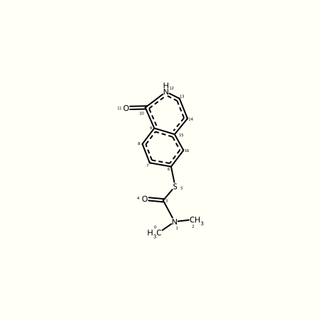 CN(C)C(=O)Sc1ccc2c(=O)[nH]ccc2c1